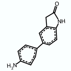 Nc1ccc(-c2ccc3c(c2)CC(=O)N3)cc1